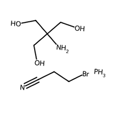 N#CCCBr.NC(CO)(CO)CO.P